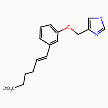 CCOC(=O)CCCC=Cc1cccc(OCc2c[nH]cn2)c1